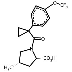 C[C@H]1C[C@@H](C(=O)O)N(C(=O)C2(c3ccc(OC(F)(F)F)cc3)CC2)C1